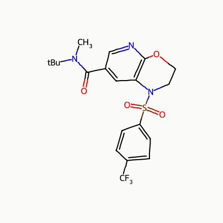 CN(C(=O)c1cnc2c(c1)N(S(=O)(=O)c1ccc(C(F)(F)F)cc1)CCO2)C(C)(C)C